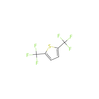 FC(F)(F)c1ccc(C(F)(F)F)s1